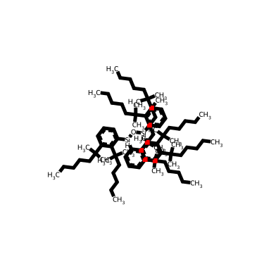 CCCCCC(C)(C)c1cccc([SiH](O[SiH](c2cccc(C(C)(C)CCCCC)c2C(C)(C)CCCCC)c2cccc(C(C)(C)CCCCC)c2C(C)(C)CCCCC)c2cccc(C(C)(C)CCCCC)c2C(C)(C)CCCCC)c1C(C)(C)CCCCC